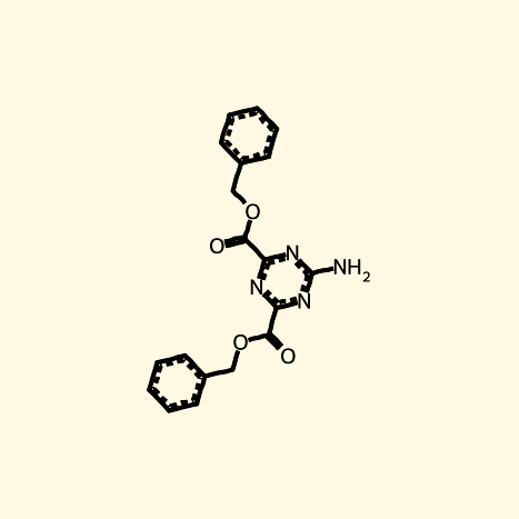 Nc1nc(C(=O)OCc2ccccc2)nc(C(=O)OCc2ccccc2)n1